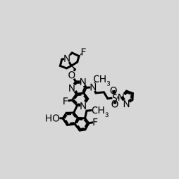 CCc1c(F)ccc2cc(O)cc(-c3ncc4c(N(C)CCCS(=O)(=O)n5cccn5)nc(OC[C@@]56CCCN5C[C@H](F)C6)nc4c3F)c12